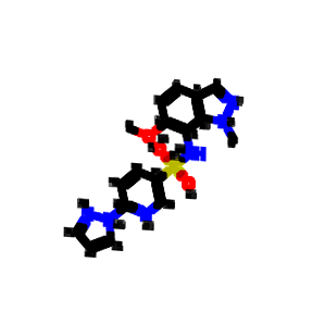 COc1ccc2cnn(C)c2c1NS(=O)(=O)c1ccc(-n2cccn2)nc1